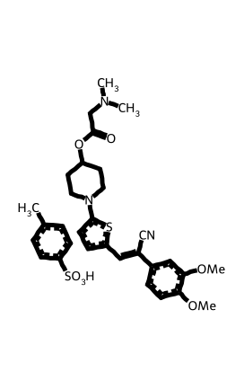 COc1ccc(C(C#N)=Cc2ccc(N3CCC(OC(=O)CN(C)C)CC3)s2)cc1OC.Cc1ccc(S(=O)(=O)O)cc1